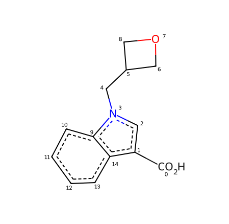 O=C(O)c1cn(CC2COC2)c2ccccc12